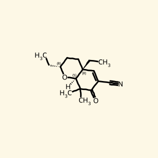 CC[C@@H]1CC[C@]2(CC)C=C(C#N)C(=O)C(C)(C)[C@H]2O1